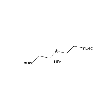 Br.CCCCCCCCCCC[CH2][Al][CH2]CCCCCCCCCCC